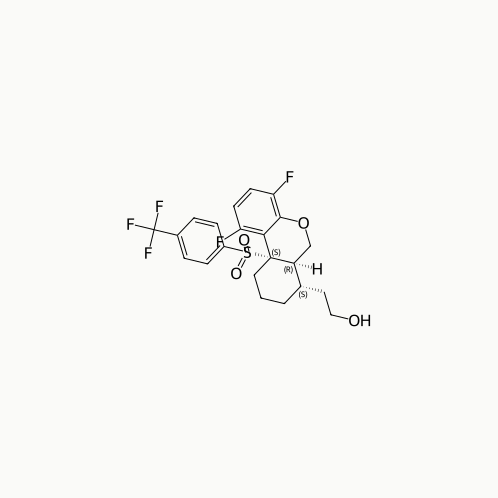 O=S(=O)(c1ccc(C(F)(F)F)cc1)[C@@]12CCC[C@@H](CCO)[C@@H]1COc1c(F)ccc(F)c12